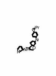 CC(C)Oc1ccc(N(C)c2ccc3c(c2)OCC[C@H]3CNc2cccnc2)cc1